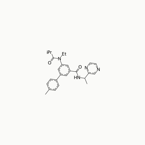 CCN(C(=O)C(C)C)c1cc(C(=O)NC(C)c2cnccn2)cc(-c2ccc(C)cc2)c1